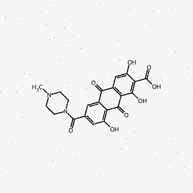 CN1CCN(C(=O)c2cc(O)c3c(c2)C(=O)c2cc(O)c(C(=O)O)c(O)c2C3=O)CC1